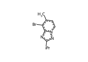 Cc1ccn2nc(C(C)C)nc2c1Br